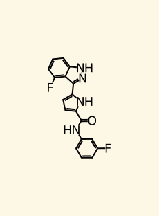 O=C(Nc1cccc(F)c1)c1ccc(-c2n[nH]c3cccc(F)c23)[nH]1